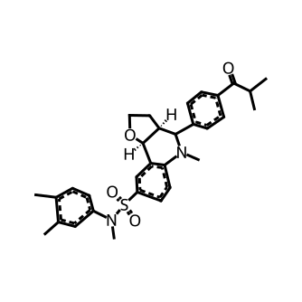 Cc1ccc(N(C)S(=O)(=O)c2ccc3c(c2)[C@H]2OCC[C@H]2C(c2ccc(C(=O)C(C)C)cc2)N3C)cc1C